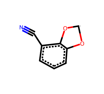 N#Cc1cccc2c1O[CH]O2